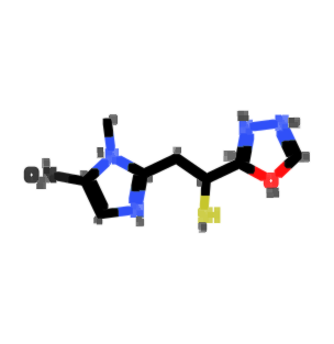 Cn1c([N+](=O)[O-])cnc1CC(S)c1nnco1